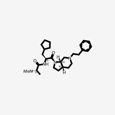 CN[C@@H](C)C(=O)N[C@@H](CC1CCCC1)C(=O)N1CC[C@H]2CCN(CCc3ccccc3)C[C@H]21